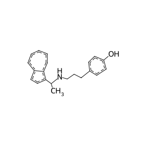 CC(NCCCc1ccc(O)cc1)c1ccc2cccccc1-2